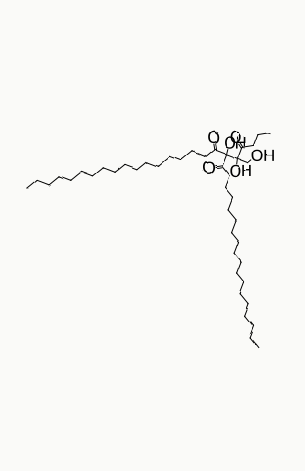 CCCCCCCCCCCCCCCCCC(=O)C(O)(C(=O)CCCCCCCCCCCCCCCCC)C(O)(CO)C(=O)CCC